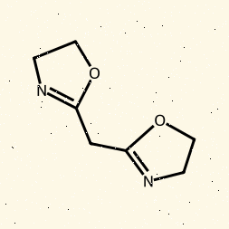 C1COC(CC2=NCCO2)=N1